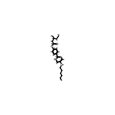 CCCCCCOc1cnc(-c2ccc(OC(=O)CC(C)CC)cc2)nc1